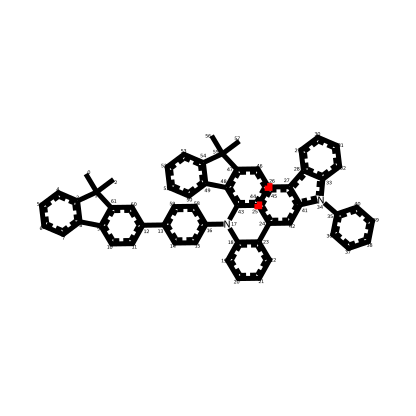 CC1(C)c2ccccc2-c2ccc(-c3ccc(N(c4ccccc4-c4ccc5c6ccccc6n(-c6ccccc6)c5c4)c4cccc5c4-c4ccccc4C5(C)C)cc3)cc21